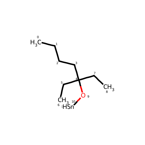 CCCCC(CC)(CC)[O][SnH]